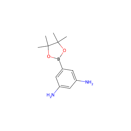 CC1(C)OB(c2cc(N)cc(N)c2)OC1(C)C